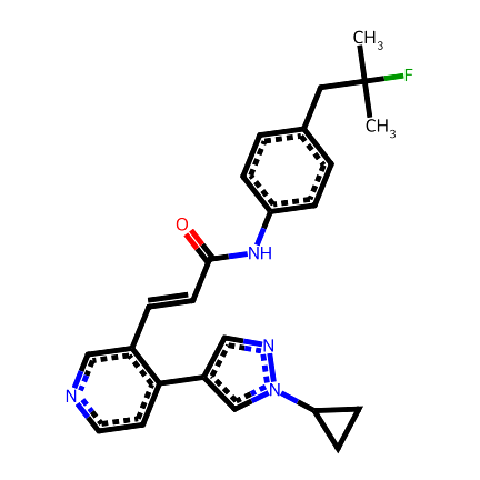 CC(C)(F)Cc1ccc(NC(=O)C=Cc2cnccc2-c2cnn(C3CC3)c2)cc1